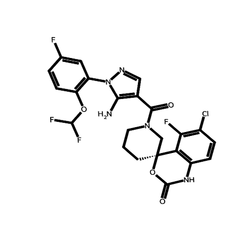 Nc1c(C(=O)N2CCC[C@@]3(C2)OC(=O)Nc2ccc(Cl)c(F)c23)cnn1-c1cc(F)ccc1OC(F)F